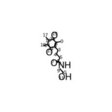 CC1=C(CCCC(=O)NCCO)C(=O)C(C)C(C)C1=O